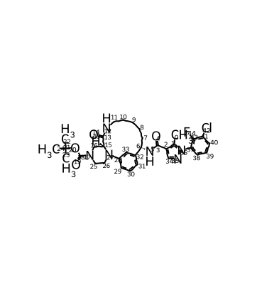 Cc1c(C(=O)N[C@H]2CCCCCNC(=O)[C@H]3CN(C(=O)OC(C)(C)C)CCN3c3cccc2c3)cnn1-c1cccc(Cl)c1F